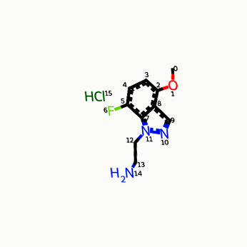 COc1ccc(F)c2c1cnn2CCN.Cl